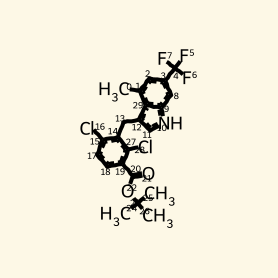 Cc1cc(C(F)(F)F)cc2[nH]cc(Cc3c(Cl)ccc(C(=O)OC(C)(C)C)c3Cl)c12